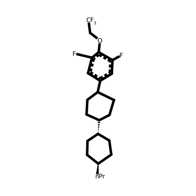 CCC[C@H]1CC[C@H](C2CCC(c3cc(F)c(OCC(F)(F)F)c(F)c3)CC2)CC1